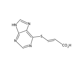 O=C(O)C=CSc1ncnc2[nH]cnc12